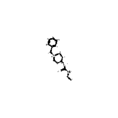 CCNC(=O)OC1CCN(Cc2ccccc2)CC1